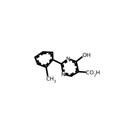 Cc1ccccc1-c1ncc(C(=O)O)c(O)n1